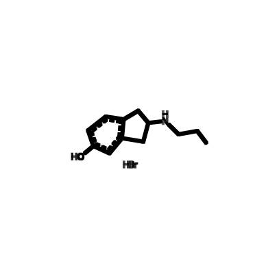 Br.CCCNC1Cc2ccc(O)cc2C1